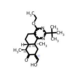 CCOc1nc(C(C)(C)C)nc2c1CC[C@H]1[C@H](C)C(=O)/C(=C\O)C[C@]21C